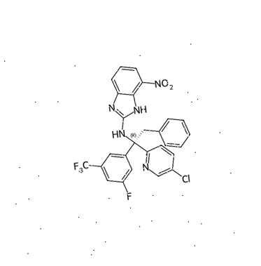 O=[N+]([O-])c1cccc2nc(N[C@](Cc3ccccc3)(c3cc(F)cc(C(F)(F)F)c3)c3ccc(Cl)cn3)[nH]c12